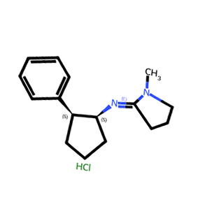 CN1CCC/C1=N\[C@H]1CCC[C@H]1c1ccccc1.Cl